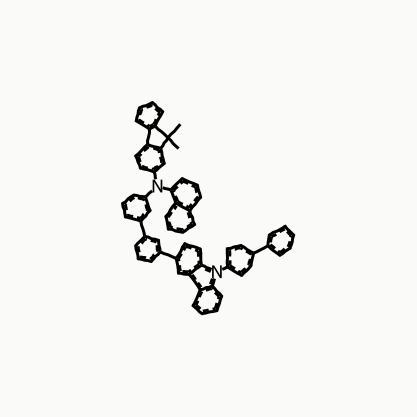 CC1(C)c2ccccc2-c2ccc(N(c3cccc(-c4cccc(-c5ccc6c(c5)c5ccccc5n6-c5ccc(-c6ccccc6)cc5)c4)c3)c3cccc4ccccc34)cc21